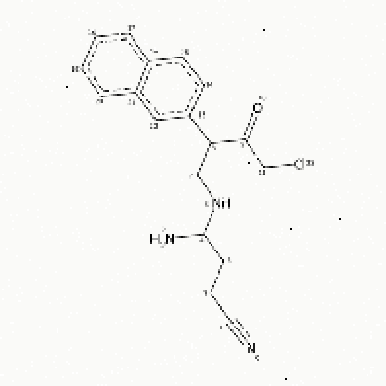 N#CCCC(N)NCC(C(=O)CCl)c1ccc2ccccc2c1